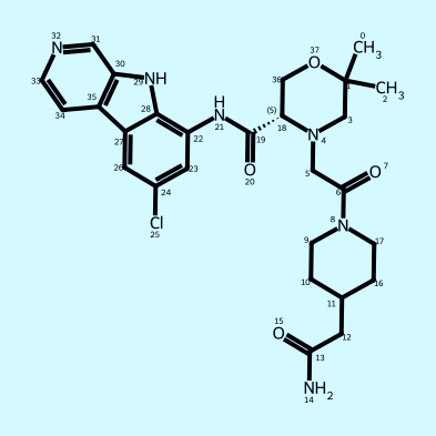 CC1(C)CN(CC(=O)N2CCC(CC(N)=O)CC2)[C@H](C(=O)Nc2cc(Cl)cc3c2[nH]c2cnccc23)CO1